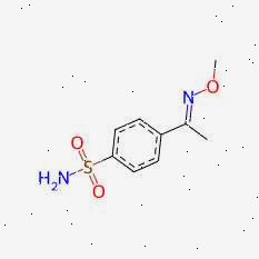 CON=C(C)c1ccc(S(N)(=O)=O)cc1